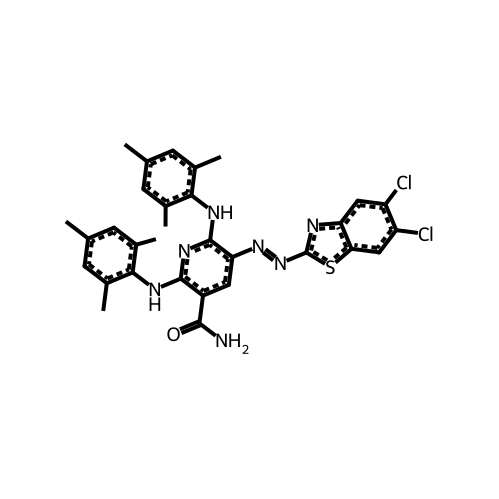 Cc1cc(C)c(Nc2nc(Nc3c(C)cc(C)cc3C)c(C(N)=O)cc2N=Nc2nc3cc(Cl)c(Cl)cc3s2)c(C)c1